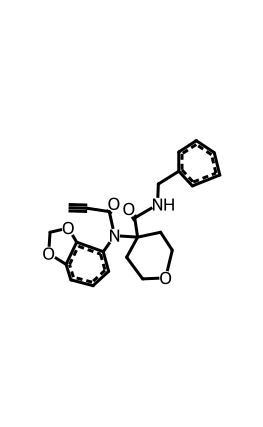 C#CC(=O)N(c1cccc2c1OCO2)C1(C(=O)NCc2ccccc2)CCOCC1